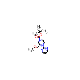 COC[C@H]1CN(C(=O)OC(C)(C)C)CCN1c1ncccn1